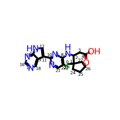 CC1(C(CC(=O)O)Nc2nc(-c3c[nH]c4ncncc34)ncc2F)CCCC1